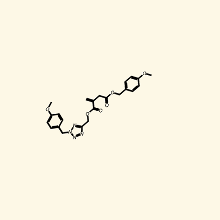 C=C(CC(=O)OCc1ccc(OC)cc1)C(=O)OCc1nnn(Cc2ccc(OC)cc2)n1